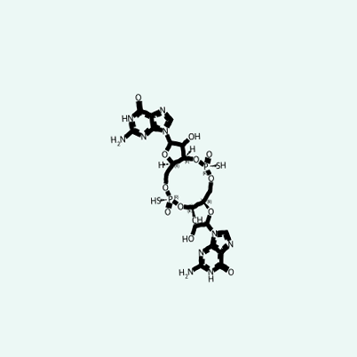 C[C@H]1O[P@](=O)(S)OC[C@H]2OC(n3cnc4c(=O)[nH]c(N)nc43)C(O)[C@H]2O[P@](=O)(S)OC[C@H]1OC(CO)n1cnc2c(=O)[nH]c(N)nc21